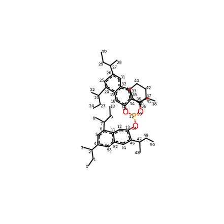 CCC(C)c1cc(C(C)CC)c2cc(OP(Oc3cc4c(C(C)CC)cc(C(C)CC)cc4cc3C(C)CC)OC3CCCCC3)c(C(C)CC)cc2c1